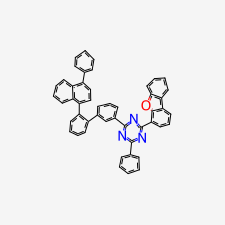 c1ccc(-c2nc(-c3cccc(-c4ccccc4-c4ccc(-c5ccccc5)c5ccccc45)c3)nc(-c3cccc4c3oc3ccccc34)n2)cc1